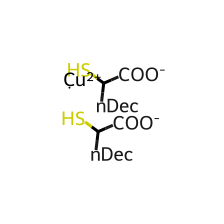 CCCCCCCCCCC(S)C(=O)[O-].CCCCCCCCCCC(S)C(=O)[O-].[Cu+2]